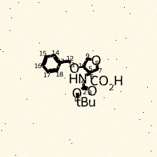 CC(C)(C)OC(=O)N[C@]1(C(=O)O)COC[C@@H]1OCc1ccccc1